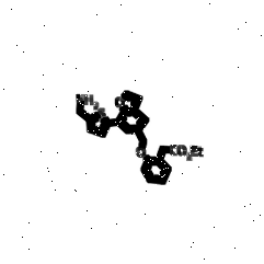 CCOC(=O)Cc1ccccc1OCc1cc(-c2ccc(CN)s2)c2occc2c1